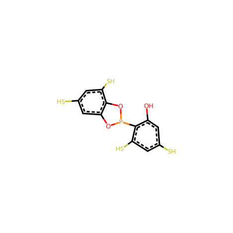 Oc1cc(S)cc(S)c1P1Oc2cc(S)cc(S)c2O1